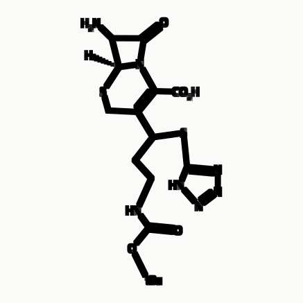 CC(C)(C)OC(=O)NCCC(Sc1nnn[nH]1)C1=C(C(=O)O)N2C(=O)C(N)[C@@H]2SC1